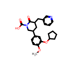 COc1ccc(C2CC(Cc3cccnc3)C(=O)N(C(=O)O)C2)cc1OC1CCCC1